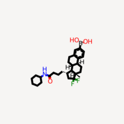 C[C@]12CC[C@@H]3c4ccc(B(O)O)cc4CC[C@H]3[C@@H]1[C@@H](CCCC(=O)NC1CCCCC1)CC2(F)F